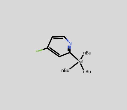 CCC[CH2][Sn]([CH2]CCC)([CH2]CCC)[c]1cc(F)ccn1